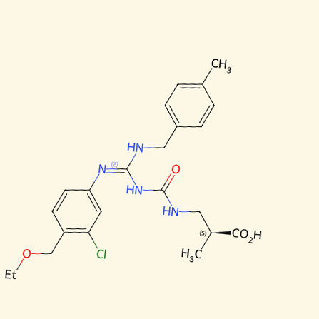 CCOCc1ccc(/N=C(/NCc2ccc(C)cc2)NC(=O)NC[C@H](C)C(=O)O)cc1Cl